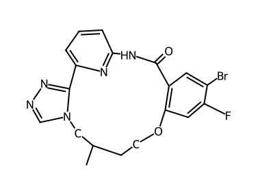 CC1CCOc2cc(F)c(Br)cc2C(=O)Nc2cccc(n2)-c2nncn2C1